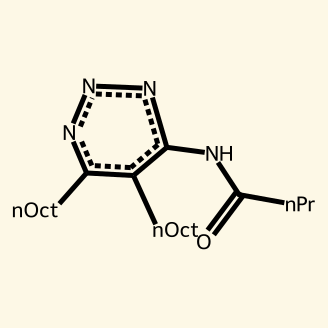 CCCCCCCCc1nnnc(NC(=O)CCC)c1CCCCCCCC